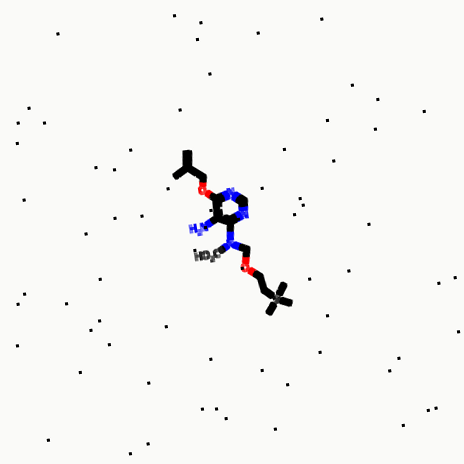 C=C(C)COc1ncnc(N(COCC[Si](C)(C)C)C(=O)O)c1N